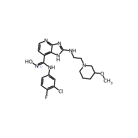 COC1CCCN(CCNc2nc3nccc(/C(=N\O)Nc4ccc(F)c(Cl)c4)c3[nH]2)C1